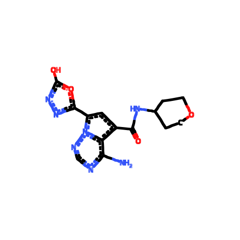 Nc1ncnn2c(-c3nnc(O)o3)cc(C(=O)NC3CCOCC3)c12